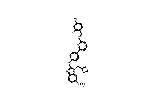 O=C(O)c1ccc2nc(Oc3ccc(-c4cccc(OCc5ccc(Cl)cc5F)n4)cc3)n(CC3CCO3)c2c1